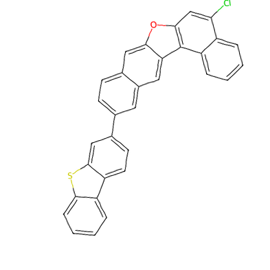 Clc1cc2oc3cc4ccc(-c5ccc6c(c5)sc5ccccc56)cc4cc3c2c2ccccc12